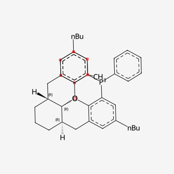 CCCCc1cc(C)c2c(c1)C[C@H]1CCC[C@@H]3Cc4cc(CCCC)cc(P(c5ccccc5)c5ccccc5)c4O[C@]13O2